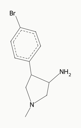 CN1CC(N)C(c2ccc(Br)cc2)C1